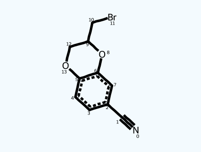 N#Cc1ccc2c(c1)OC(CBr)CO2